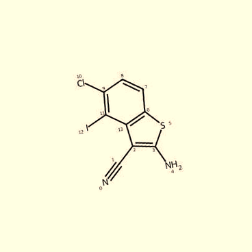 N#Cc1c(N)sc2ccc(Cl)c(I)c12